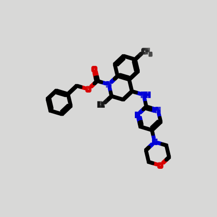 CCC1CC(Nc2ncc(N3CCOCC3)cn2)c2cc(C(F)(F)F)ccc2N1C(=O)OCc1ccccc1